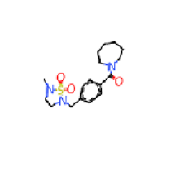 CN1CCN(Cc2ccc(C(=O)N3CCCCCC3)cc2)S1(=O)=O